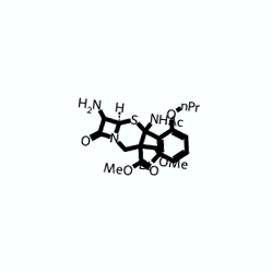 CCCOc1cccc(CC)c1C1(NC(C)=O)S[C@@H]2C(N)C(=O)N2CC1(COC)C(=O)OC